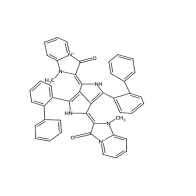 CN1/C(=c2/[nH]c(-c3ccccc3-c3ccccc3)c3/c(=C4/C(=O)[n+]5ccccc5N4C)[nH]c(-c4ccccc4-c4ccccc4)c23)C(=O)[n+]2ccccc21